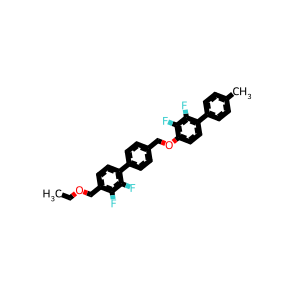 CCOCc1ccc(-c2ccc(COc3ccc(-c4ccc(C)cc4)c(F)c3F)cc2)c(F)c1F